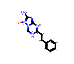 Nc1nc2n([n+]1[O-])CNC(CCc1ccccc1)=N2